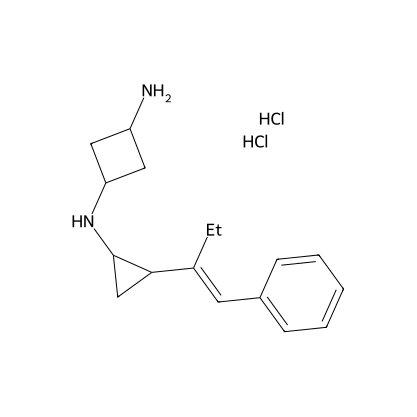 CC/C(=C\c1ccccc1)C1CC1NC1CC(N)C1.Cl.Cl